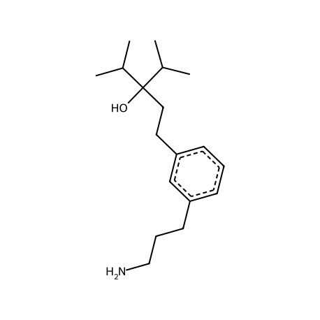 CC(C)C(O)(CCc1cccc(CCCN)c1)C(C)C